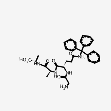 C[C@H](NC(=O)[C@H](C)NC(=O)[C@H](CCC(=O)NC(c1ccccc1)(c1ccccc1)c1ccccc1)NC(=O)CN)C(=O)O